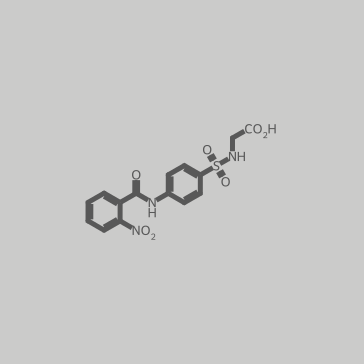 O=C(O)CNS(=O)(=O)c1ccc(NC(=O)c2ccccc2[N+](=O)[O-])cc1